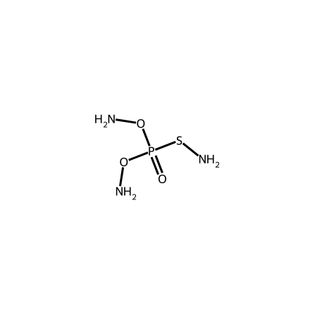 NOP(=O)(ON)SN